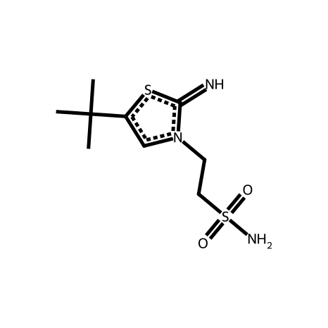 CC(C)(C)c1cn(CCS(N)(=O)=O)c(=N)s1